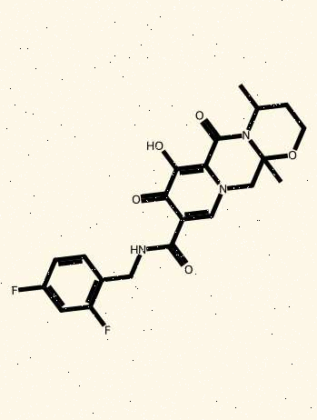 CC1CCOC2(C)Cn3cc(C(=O)NCc4ccc(F)cc4F)c(=O)c(O)c3C(=O)N12